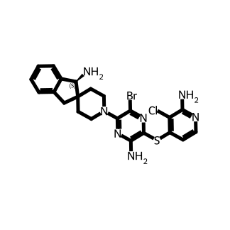 Nc1nc(N2CCC3(CC2)Cc2ccccc2[C@H]3N)c(Br)nc1Sc1ccnc(N)c1Cl